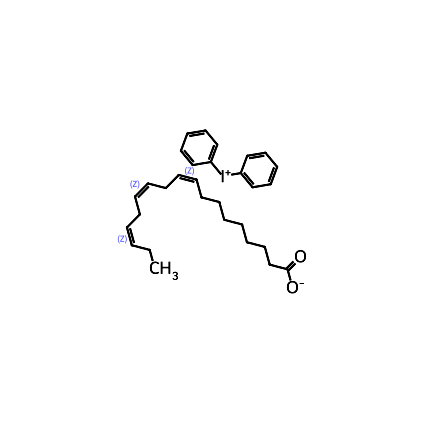 CC/C=C\C/C=C\C/C=C\CCCCCCCC(=O)[O-].c1ccc([I+]c2ccccc2)cc1